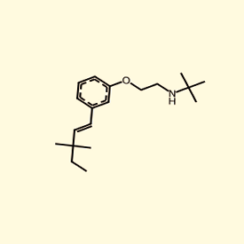 CCC(C)(C)/C=C/c1cccc(OCCNC(C)(C)C)c1